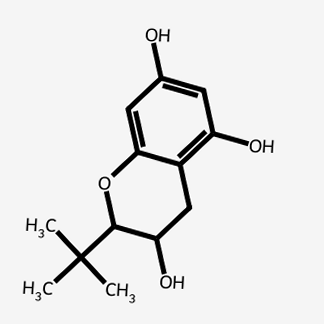 CC(C)(C)C1Oc2cc(O)cc(O)c2CC1O